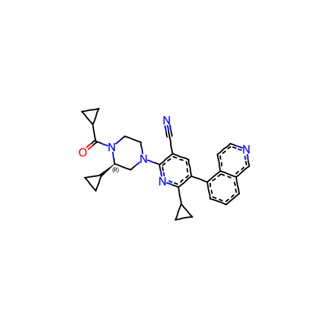 N#Cc1cc(-c2cccc3cnccc23)c(C2CC2)nc1N1CCN(C(=O)C2CC2)[C@H](C2CC2)C1